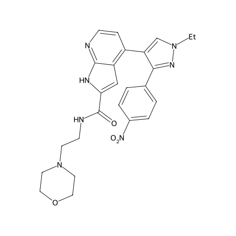 CCn1cc(-c2ccnc3[nH]c(C(=O)NCCN4CCOCC4)cc23)c(-c2ccc([N+](=O)[O-])cc2)n1